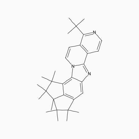 CC(C)(C)c1nccc2c1ccn1c2nc2cc3c4c(c21)C(C)(C)C(C)(C)C4(C)C(C)(C)C3(C)C